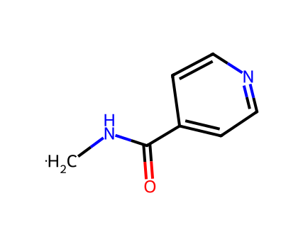 [CH2]NC(=O)c1ccncc1